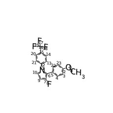 COc1ccc(-c2c(F)ccn2-c2ccc(C(F)(F)F)cc2)cc1